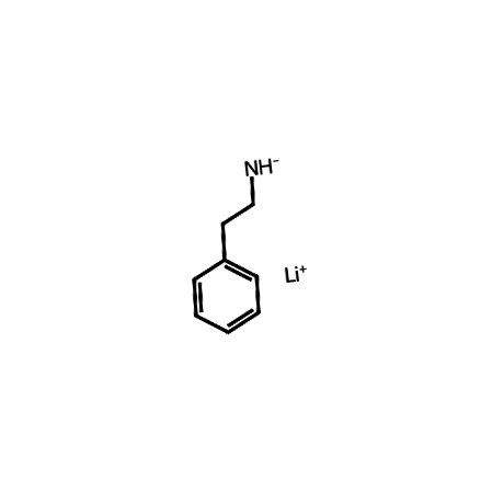 [Li+].[NH-]CCc1ccccc1